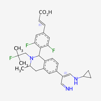 CC1Cc2cc(/C(C=N)=C/NC3CC3)ccc2C(c2c(F)cc(/C=C/C(=O)O)cc2F)N1CC(C)(C)F